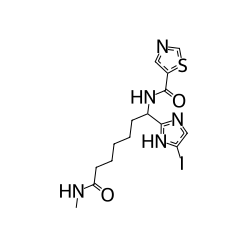 CNC(=O)CCCCCC(NC(=O)c1cncs1)c1ncc(I)[nH]1